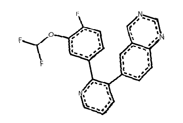 Fc1ccc(-c2ncccc2-c2ccc3ncncc3c2)cc1OC(F)F